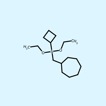 CCO[Si]([CH]C1CCCCCC1)(OCC)C1CCC1